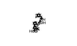 Cc1ccc(CC(C)(C)NC[C@@H](O)CO[C@H](C)c2ccccc2-c2ccc(C(=O)O)c(C(C)(C)C)c2)cc1F